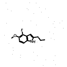 CCCc1cc2c(F)c(OC)ccc2[nH]1